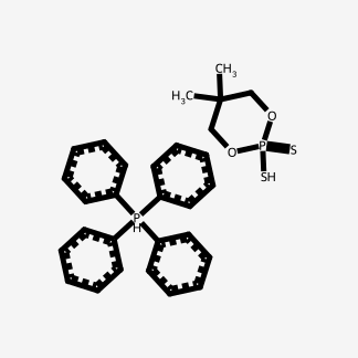 CC1(C)COP(=S)(S)OC1.c1ccc([PH](c2ccccc2)(c2ccccc2)c2ccccc2)cc1